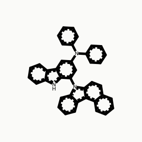 c1ccc(N(c2ccccc2)c2cc(-n3c4ccccc4c4c5ccccc5ccc43)c3[nH]c4ccccc4c3c2)cc1